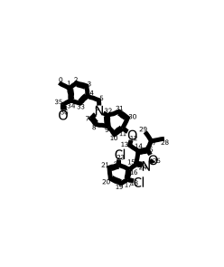 Cc1ccc(Cn2ccc3cc(OCc4c(-c5c(Cl)cccc5Cl)noc4C(C)C)ccc32)cc1C=O